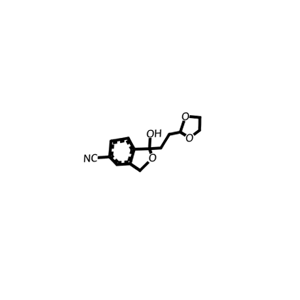 N#Cc1ccc2c(c1)COC2(O)CCC1OCCO1